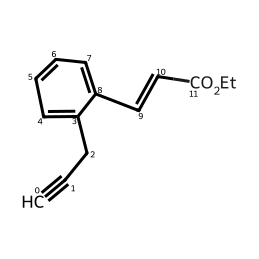 C#CCc1ccccc1C=CC(=O)OCC